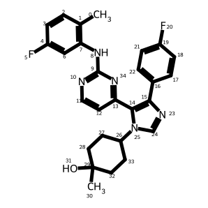 Cc1ccc(F)cc1Nc1nccc(-c2c(-c3ccc(F)cc3)ncn2C2CCC(C)(O)CC2)n1